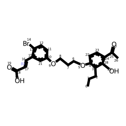 CCCc1c(OCCCOc2ccc(Br)c(/C=C/C(=O)O)c2)ccc(C(C)=O)c1O